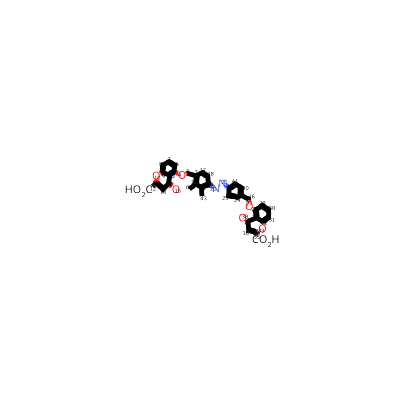 Cc1c(COc2cccc3oc(C(=O)O)cc(=O)c23)ccc(/N=N/c2ccc(COc3cccc4oc(C(=O)O)cc(=O)c34)cc2)c1C